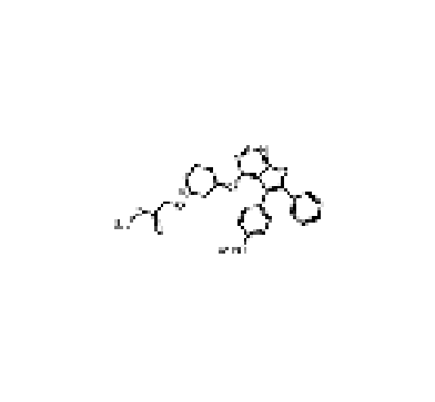 COc1ccc(-c2c(-c3ccccc3)oc3ncnc(OC4CCC[C@@H](OCC(=O)OC(C)(C)C)C4)c23)cc1